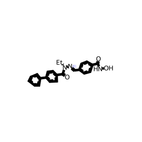 CCN(/N=C/c1ccc(C(=O)NO)cc1)C(=O)c1ccc(-c2ccccc2)cc1